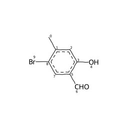 Cc1cc(O)c(C=O)cc1Br